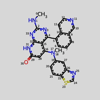 CNc1nc(-c2cccc3cnccc23)c2c(N(C)c3ccc4scnc4c3)cc(=O)[nH]c2n1